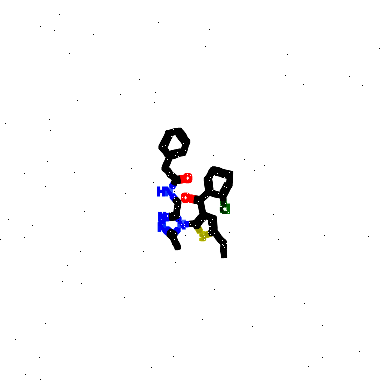 CCc1cc(C(=O)c2ccccc2Cl)c(-n2c(C)nnc2CNC(=O)Cc2ccccc2)s1